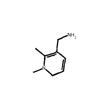 CC1=C(CN)C=CCN1C